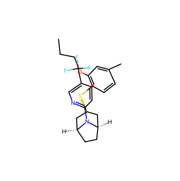 CCCOc1cc(C)ccc1S[C@H]1C[C@H]2CC[C@@H](C1)N2c1ccc(C(F)(F)F)cn1